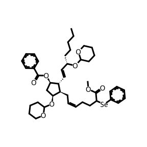 CCCCC[C@@H](/C=C/[C@@H]1[C@@H](C/C=C\CCC([Se]c2ccccc2)C(=O)OC)[C@@H](OC2CCCCO2)C[C@H]1OC(=O)c1ccccc1)OC1CCCCO1